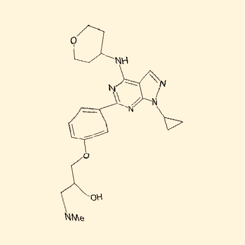 CNCC(O)COc1cccc(-c2nc(NC3CCOCC3)c3cnn(C4CC4)c3n2)c1